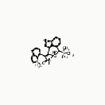 Cn1ccc2cccc(C3=C(c4c[nH]c5cccc(C(O)[Si](C)(C)C(C)(C)C)c45)C(=O)NC3=O)c21